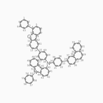 c1ccc(-c2cccc3c2oc2ccc(-c4ccc(N(c5ccc(-c6ccc7ccc8ccccc8c7c6)cc5)c5cccc6c5c5ccccc5n6-c5ccccc5)cc4)cc23)cc1